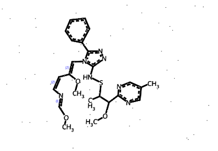 CO/C=N/C=C\C(=C\n1c(NSC(C)C(OC)c2ncc(C)cn2)nnc1-c1ccccc1)OC